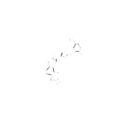 CC(C)c1ccc(I)c(Oc2nc(C(=O)NC(C)c3cc(F)c(NS(C)(=O)=O)c(F)c3)co2)c1